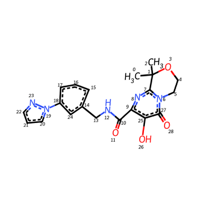 CC1(C)OCCn2c1nc(C(=O)NCc1cccc(-n3cccn3)c1)c(O)c2=O